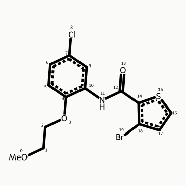 COCCOc1ccc(Cl)cc1NC(=O)c1sccc1Br